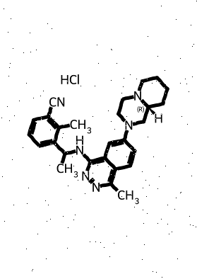 Cc1c(C#N)cccc1C(C)Nc1nnc(C)c2ccc(N3CCN4CCCC[C@@H]4C3)cc12.Cl